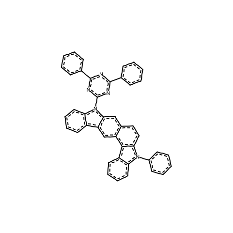 c1ccc(-c2nc(-c3ccccc3)nc(-n3c4ccccc4c4cc5c(ccc6c5c5ccccc5n6-c5ccccc5)cc43)n2)cc1